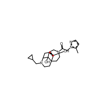 Cc1ccnn1CC(=O)N1CCC23CCN(CC4CC4)C(Cc4ccc(O)cc42)C3(O)CC1